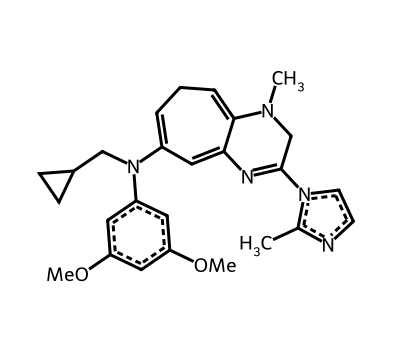 COc1cc(OC)cc(N(CC2CC2)C2=CCC=C3C(=C2)N=C(n2ccnc2C)CN3C)c1